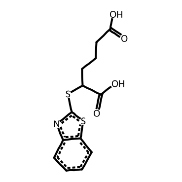 O=C(O)CCCC(Sc1nc2ccccc2s1)C(=O)O